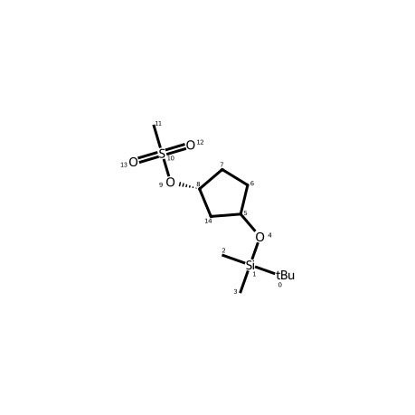 CC(C)(C)[Si](C)(C)OC1CC[C@@H](OS(C)(=O)=O)C1